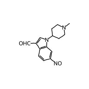 CN1CCC(n2cc(C=O)c3ccc(N=O)cc32)CC1